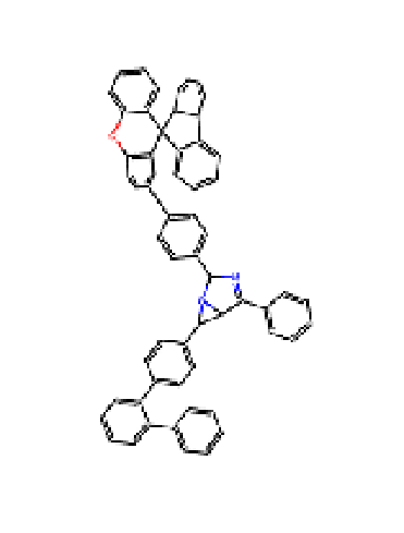 C1=CC2c3ccccc3C3(c4ccccc4Oc4ccc(-c5ccc(C6N=C(c7ccccc7)C7C(c8ccc(-c9ccccc9-c9ccccc9)cc8)N67)cc5)cc43)C2C=C1